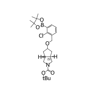 CC(C)(C)OC(=O)N1C[C@H]2CC(OCc3cccc(B4OC(C)(C)C(C)(C)O4)c3Cl)C[C@H]2C1